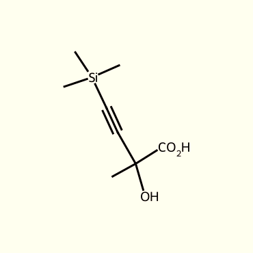 CC(O)(C#C[Si](C)(C)C)C(=O)O